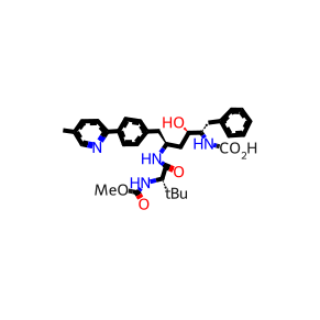 COC(=O)N[C@H](C(=O)N[C@@H](Cc1ccc(-c2ccc(C)cn2)cc1)C[C@H](O)[C@H](Cc1ccccc1)NC(=O)O)C(C)(C)C